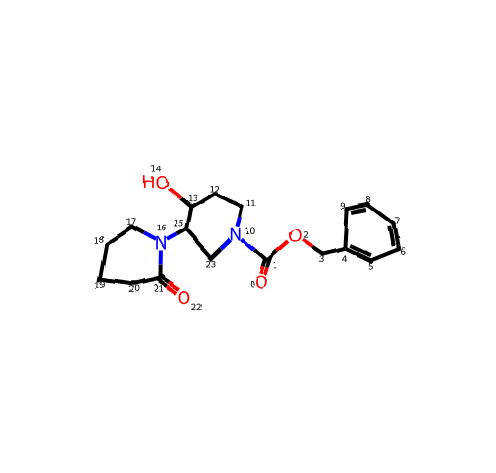 O=C(OCc1ccccc1)N1CCC(O)C(N2CCCCC2=O)C1